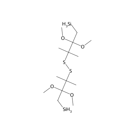 COC(C[SiH3])(OC)C(C)(C)SSC(C)(C)C(C[SiH3])(OC)OC